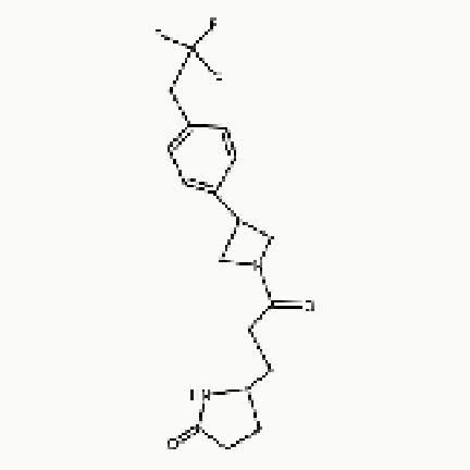 O=C1CCC(CCC(=O)N2CC(c3ccc(CC(F)(F)F)cc3)C2)N1